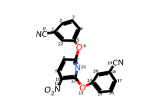 N#Cc1cccc(Oc2ccc([N+](=O)[O-])c(Oc3cccc(C#N)c3)n2)c1